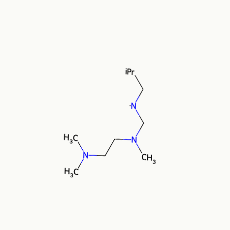 CC(C)C[N]CN(C)CCN(C)C